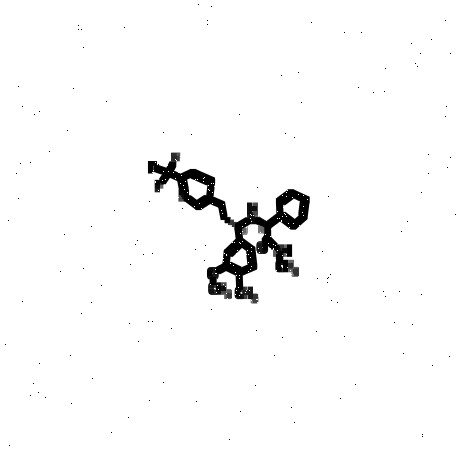 CNC(=O)[C@@H](N[C@@H](CCc1ccc(C(F)(F)F)nc1)c1ccc(C)c(OC)c1)c1ccccc1